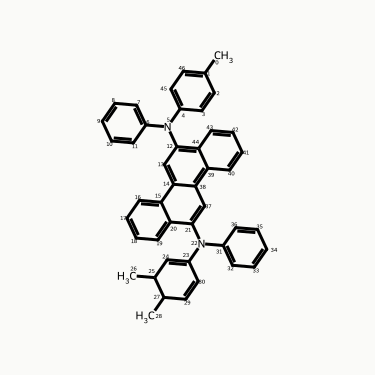 Cc1ccc(N(c2ccccc2)c2cc3c4ccccc4c(N(C4=CC(C)C(C)C=C4)c4ccccc4)cc3c3ccccc23)cc1